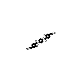 COCCc1ccc(C(=O)Oc2ccc(OC(=O)c3ccc(CCOC)cc3F)cc2)c(F)c1